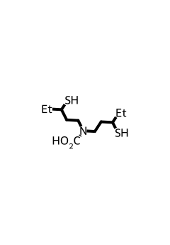 CCC(S)CCN(CCC(S)CC)C(=O)O